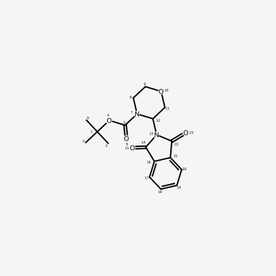 CC(C)(C)OC(=O)N1CCOCC1N1C(=O)c2ccccc2C1=O